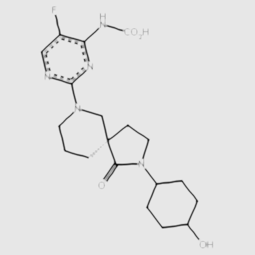 O=C(O)Nc1nc(N2CCC[C@@]3(CCN(C4CCC(O)CC4)C3=O)C2)ncc1F